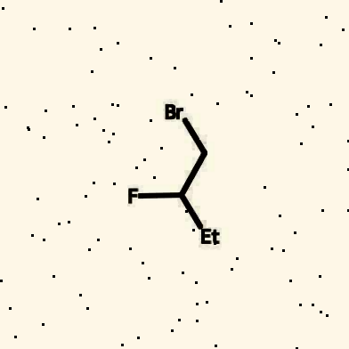 CCC(F)CBr